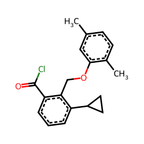 Cc1ccc(C)c(OCc2c(C(=O)Cl)cccc2C2CC2)c1